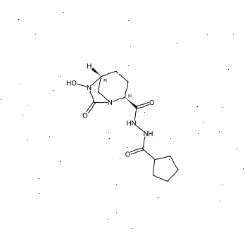 O=C(NNC(=O)[C@@H]1CC[C@@H]2CN1C(=O)N2O)C1CCCC1